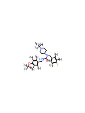 [2H]c1c([2H])c(CN(C(=O)NCc2c([2H])c([2H])c(OC([2H])([2H])C(C)C)c([2H])c2[2H])C2CCN(C([2H])([2H])[2H])CC2)c([2H])c([2H])c1F